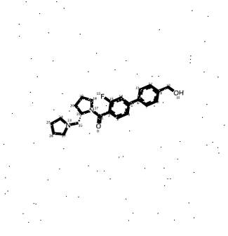 O=C(c1ccc(-c2ccc(CO)cc2)cc1F)N1CCC[C@H]1CN1CCCC1